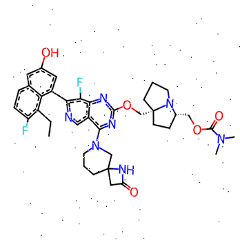 CCc1c(F)ccc2cc(O)cc(-c3ncc4c(N5CCCC6(CC(=O)N6)C5)nc(OC[C@]56CCCN5[C@H](COC(=O)N(C)C)CC6)nc4c3F)c12